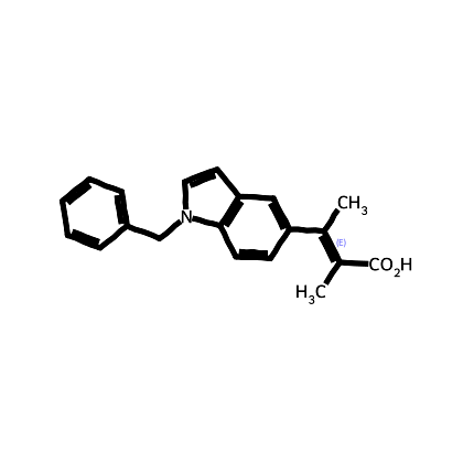 C/C(C(=O)O)=C(/C)c1ccc2c(ccn2Cc2ccccc2)c1